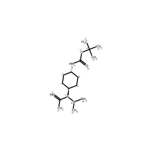 CC(=N)N([C@H]1CC[C@H](NC(=O)OC(C)(C)C)CC1)N(C)N